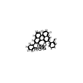 Cc1ccccc1-c1cc2ccccc2c2c1OP(=O)(O)Oc1c(-c3ccccc3C)cc3ccccc3c1-2